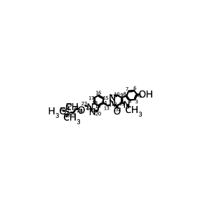 Cn1c2cc(O)ccc2c2cnn(Cc3cccc4c3cnn4COCCS(C)(C)C)c(=O)c21